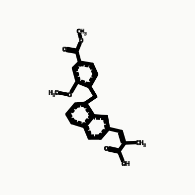 COC(=O)c1ccc(Cc2cccc3ccc(/C=C(/C)C(=O)O)cc23)c(OC)c1